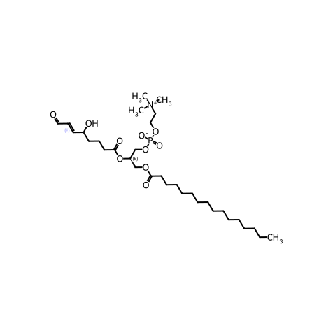 CCCCCCCCCCCCCCCC(=O)OC[C@H](COP(=O)([O-])OCC[N+](C)(C)C)OC(=O)CCCC(O)/C=C/C=O